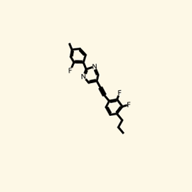 CCCc1ccc(C#Cc2cnc(-c3ccc(C)cc3F)nc2)c(F)c1F